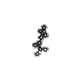 C1=CC(c2cc(C3=CCCC=C3)cc(N3c4ccc(C5=CC6c7ccccc7N(c7cccc8c7oc7ccccc78)C6C=C5)cc4C4CCCCC43)c2)=CCC1